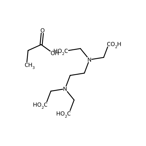 CCC(=O)O.O=C(O)CN(CCN(CC(=O)O)CC(=O)O)CC(=O)O